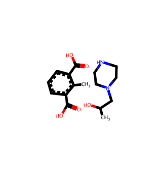 CC(O)CN1CCNCC1.Cc1c(C(=O)O)cccc1C(=O)O